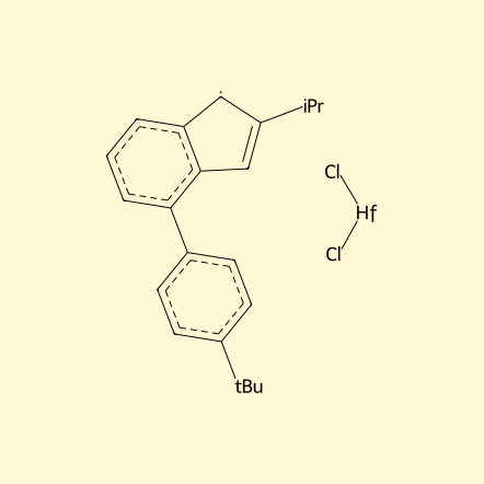 CC(C)C1=Cc2c(cccc2-c2ccc(C(C)(C)C)cc2)[CH]1.[Cl][Hf][Cl]